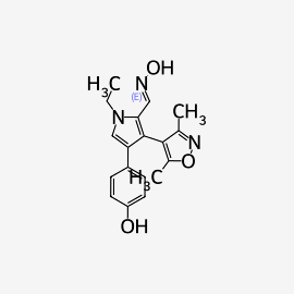 CCn1cc(-c2ccc(O)cc2)c(-c2c(C)noc2C)c1/C=N/O